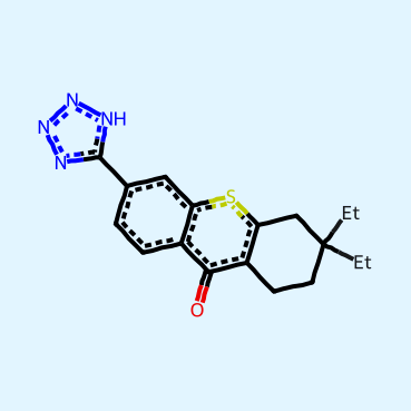 CCC1(CC)CCc2c(sc3cc(-c4nnn[nH]4)ccc3c2=O)C1